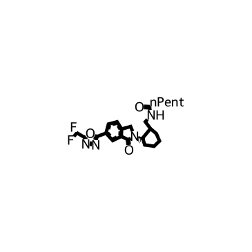 CCCCCC(=O)NCC1CCCC[C@H]1N1Cc2ccc(-c3nnc(C(F)F)o3)cc2C1=O